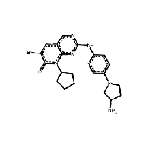 NC1CCN(c2ccc(Nc3ncc4cc(Br)c(=O)n(C5CCCC5)c4n3)nc2)C1